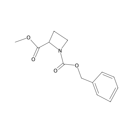 COC(=O)C1CCN1C(=O)OCc1ccccc1